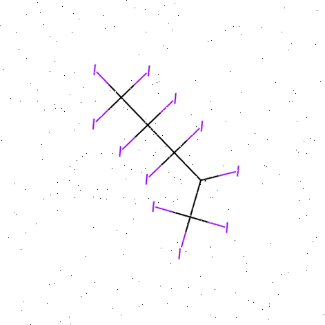 I[C](C(I)(I)I)C(I)(I)C(I)(I)C(I)(I)I